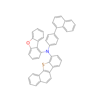 c1ccc2c(-c3ccc(N(c4cccc5c4sc4c6ccccc6ccc54)c4cccc5oc6ccccc6c45)cc3)cccc2c1